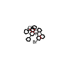 Cl[Si](c1ccccc1)(c1ccccc1)c1cc(-c2ccccc2)cc(N(c2cccc(Br)c2)c2c(-c3ccccc3)cccc2-c2ccccc2)c1